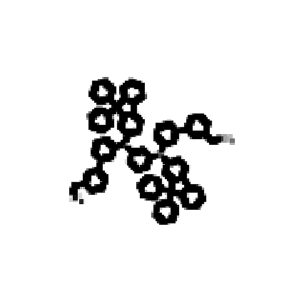 C=Cc1cccc(-c2cccc(N(c3cccc(N(c4cccc(-c5cccc(C=C)c5)c4)c4ccc5c(c4)C(c4ccccc4)(c4ccccc4)c4ccccc4-5)c3)c3ccc4c(c3)C(c3ccccc3)(c3ccccc3)c3ccccc3-4)c2)c1